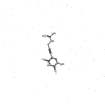 C=C(NCC#Cc1cn(C(C)C)c(=O)[nH]c1=O)C(C)C